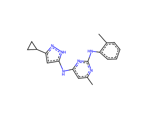 Cc1cc(Nc2cc(C3CC3)n[nH]2)nc(Nc2ccccc2C)n1